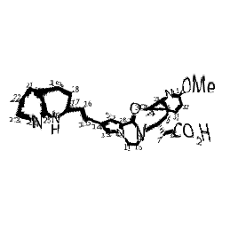 COC1=NC2CC2([C@H](CC(=O)O)N2CCn3cc(CCC4CCc5cccnc5N4)cc3C2=O)C=C1